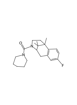 CC12CCN(C(=O)N3CCCCC3)C(Cc3cc(F)ccc31)C2(C)C